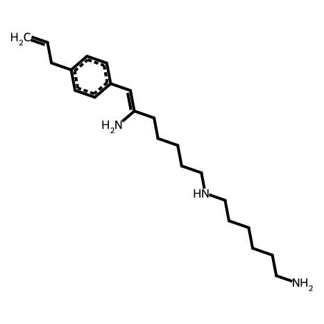 C=CCc1ccc(C=C(N)CCCCCNCCCCCCN)cc1